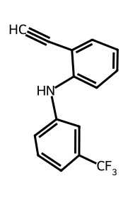 C#Cc1ccccc1Nc1cccc(C(F)(F)F)c1